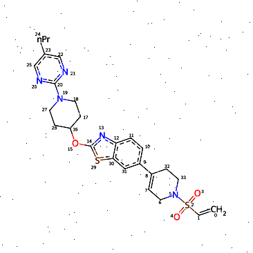 C=CS(=O)(=O)N1CC=C(c2ccc3nc(OC4CCN(c5ncc(CCC)cn5)CC4)sc3c2)CC1